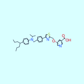 CCCC(CCC)c1ccc(N(Cc2ccc(-c3csc(COc4cncc(C(=O)O)c4)n3)cc2)C(C)C)cc1